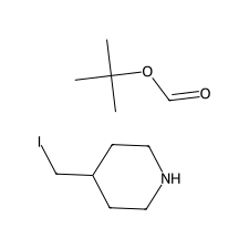 CC(C)(C)OC=O.ICC1CCNCC1